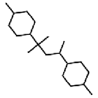 CC1CCC(C(C)CC(C)(C)C2CCC(C)CC2)CC1